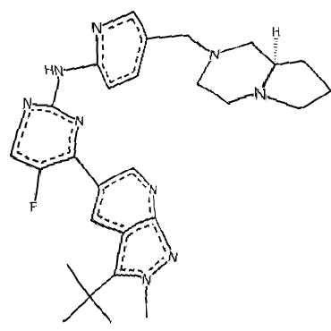 Cn1nc2ncc(-c3nc(Nc4ccc(CN5CCN6CCC[C@@H]6C5)cn4)ncc3F)cc2c1C(C)(C)C